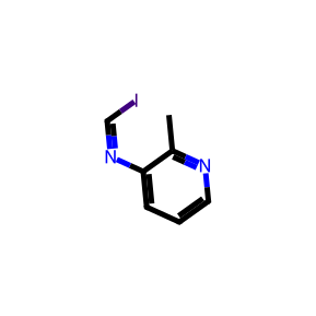 Cc1ncccc1/N=C\I